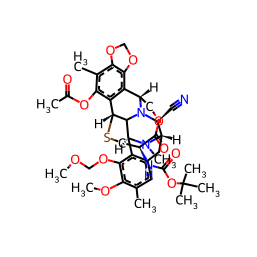 COCOc1c(OC)c(C)cc2c1[C@H]1C3[C@@H]4SC[C@H](NC(=O)OC(C)(C)C)C(=O)OC[C@@H](c5c6c(c(C)c(OC(C)=O)c54)OCO6)N3[C@@H](C#N)[C@H](C2)N1C